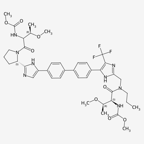 CCCN(Cc1nc(C(F)(F)F)c(-c2ccc(-c3ccc(-c4cnc([C@@H]5CCCN5C(=O)C(NC(=O)OC)[C@@H](C)OC)[nH]4)cc3)cc2)[nH]1)C(=O)[C@@H](NC(=O)OC)[C@@H](C)OC